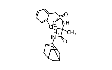 CC(C)(NS(=O)(=O)Cc1ccccc1Cl)C(=O)NC1C2CC3CC(C2)CC1C3